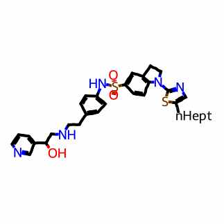 CCCCCCCc1cnc(N2CCc3cc(S(=O)(=O)Nc4ccc(CCNCC(O)c5cccnc5)cc4)ccc32)s1